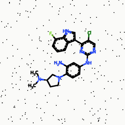 CN(C)[C@@H]1CCN(c2ccc(Nc3ncc(Cl)c(-c4c[nH]c5c(F)cccc45)n3)cc2N)C1